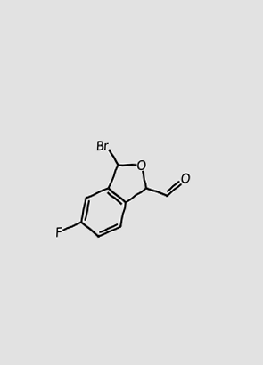 O=CC1OC(Br)c2cc(F)ccc21